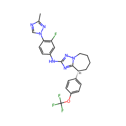 Cc1ncn(-c2ccc(Nc3nc4n(n3)CCCC[C@@H]4c3ccc(OC(F)(F)F)cc3)cc2F)n1